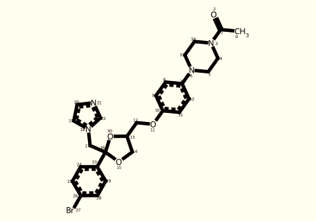 CC(=O)N1CCN(c2ccc(OCC3COC(Cn4ccnc4)(c4ccc(Br)cc4)O3)cc2)CC1